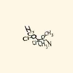 CCOC(CCC#N)C1C(c2ccc(C)c(Cl)c2)C1(C)Cl